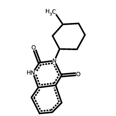 CC1CCCC(n2c(=O)[nH]c3ccccc3c2=O)C1